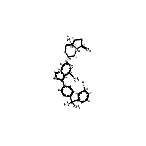 CC(O)(c1ccc(-c2ncn3cc([C@@H]4CC[C@H]5CCC(=O)N5C4)nc(N)c23)cc1)c1cccc(F)c1